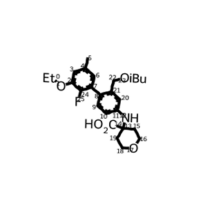 CCOc1cc(C)cc(-c2ccc(NC3(C(=O)O)CCOCC3)cc2COCC(C)C)c1F